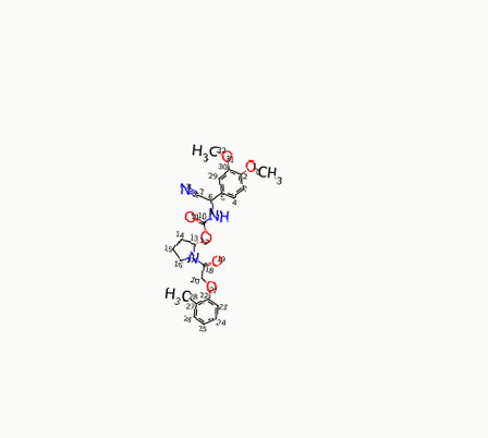 COc1ccc(C(C#N)NC(=O)O[C@H]2CCCN2C(=O)COc2ccccc2C)cc1OC